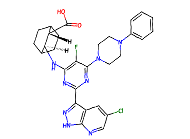 O=C(O)[C@H]1C2CCC(CC2)[C@@H]1Nc1nc(-c2n[nH]c3ncc(Cl)cc23)nc(N2CCN(c3ccccc3)CC2)c1F